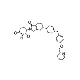 O=C1CCC(N2Cc3cc(C4CCN(Cc5ccc(OCc6ccccn6)cc5)CC4)ccc3C2=O)C(=O)N1